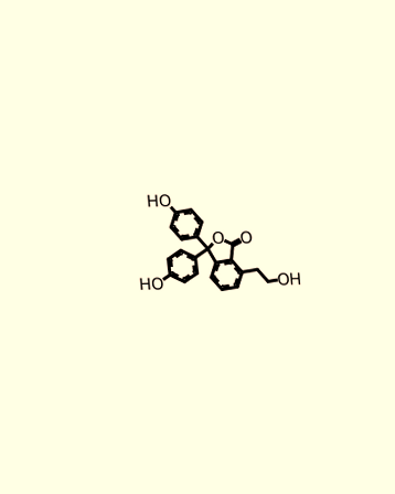 O=C1OC(c2ccc(O)cc2)(c2ccc(O)cc2)c2cccc(CCO)c21